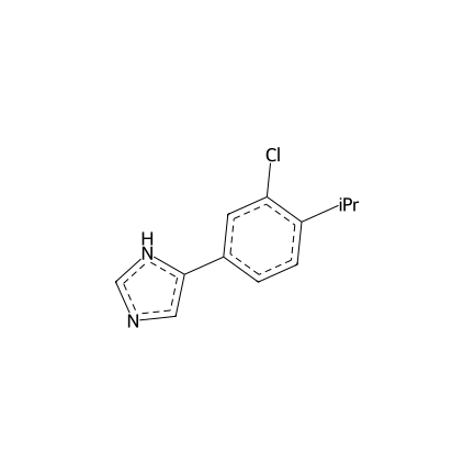 CC(C)c1ccc(-c2cnc[nH]2)cc1Cl